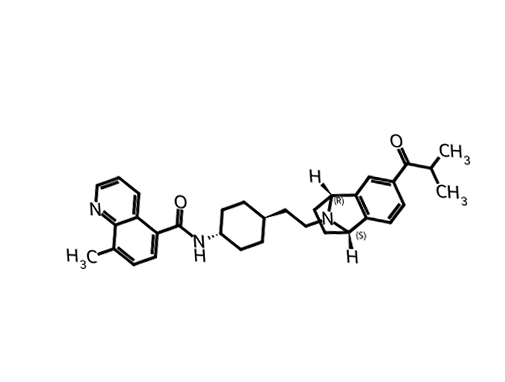 Cc1ccc(C(=O)N[C@H]2CC[C@H](CCN3[C@@H]4CC[C@H]3c3ccc(C(=O)C(C)C)cc34)CC2)c2cccnc12